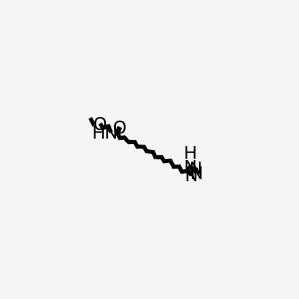 CCOCCNC(=O)CCCCCCCCCCCCCCCc1nnn[nH]1